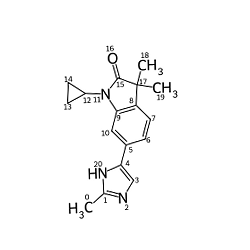 Cc1ncc(-c2ccc3c(c2)N(C2CC2)C(=O)C3(C)C)[nH]1